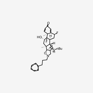 CCCCSC(=O)[C@@]12ON(CCCc3ccccc3)C[C@@H]1C[C@H]1[C@@H]3C[C@H](F)C4=CC(=O)C=C[C@]4(C)[C@@]3(F)[C@@H](O)C[C@@]12C